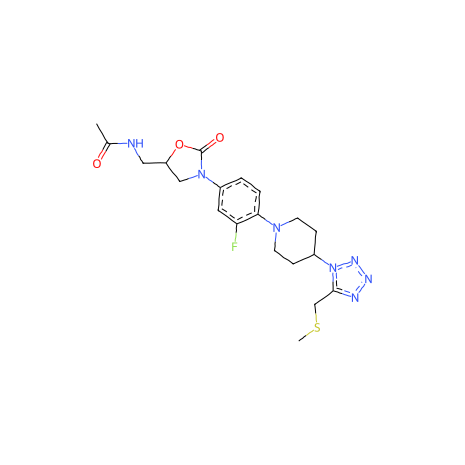 CSCc1nnnn1C1CCN(c2ccc(N3CC(CNC(C)=O)OC3=O)cc2F)CC1